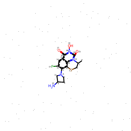 CC1CSc2c(N3CCC(N)C3)c(F)cc3c(=O)n(O)c(=O)n1c23